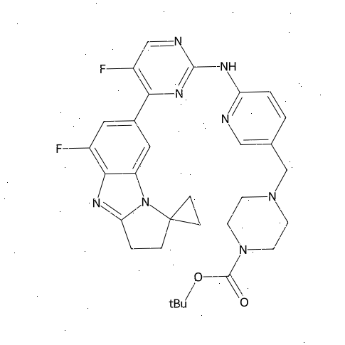 CC(C)(C)OC(=O)N1CCN(Cc2ccc(Nc3ncc(F)c(-c4cc(F)c5nc6n(c5c4)C4(CC6)CC4)n3)nc2)CC1